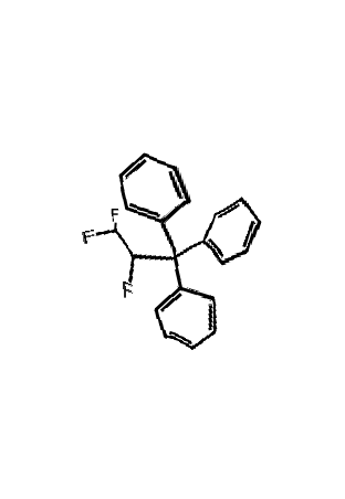 FC(F)C(F)C(c1ccccc1)(c1ccccc1)c1ccccc1